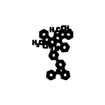 CC1(C)c2ccccc2-c2ccc(N(c3cccc(-c4ccc5c6ccccc6n(-c6ccccc6)c5c4)c3)c3ccccc3-c3cccc4c3-c3ccccc3C4(C)C)cc21